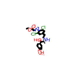 CCOC(=O)CN(C)c1c(Cl)cc(CCN[C@@H](C)[C@H](O)c2ccc(O)cc2)cc1Cl